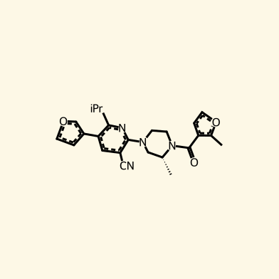 Cc1occc1C(=O)N1CCN(c2nc(C(C)C)c(-c3ccoc3)cc2C#N)C[C@H]1C